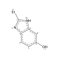 [CH2]Cc1nc2ccc(O)cc2[nH]1